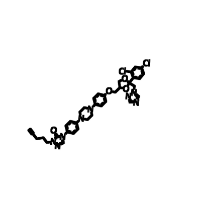 C#CCCCn1ncn(-c2ccc(N3CCN(c4ccc(OCC5COC(Cn6cncn6)(c6ccc(Cl)cc6Cl)O5)cc4)CC3)cc2)c1=O